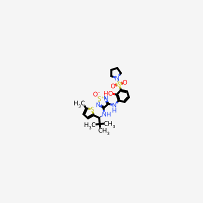 Cc1ccc([C@H](Nc2n[s+]([O-])nc2Nc2cccc(S(=O)(=O)N3CCCC3)c2O)C(C)(C)C)s1